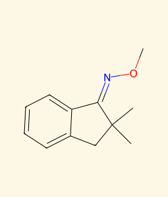 CO/N=C1/c2ccccc2CC1(C)C